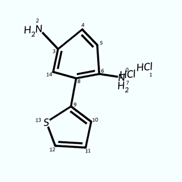 Cl.Cl.Nc1ccc(N)c(-c2cccs2)c1